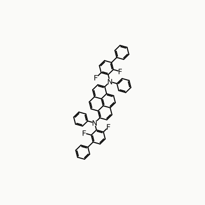 Fc1ccc(-c2ccccc2)c(F)c1N(c1ccccc1)c1ccc2ccc3c(N(c4ccccc4)c4c(F)ccc(-c5ccccc5)c4F)ccc4ccc1c2c43